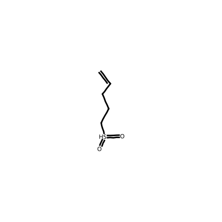 C=CCCC[SH](=O)=O